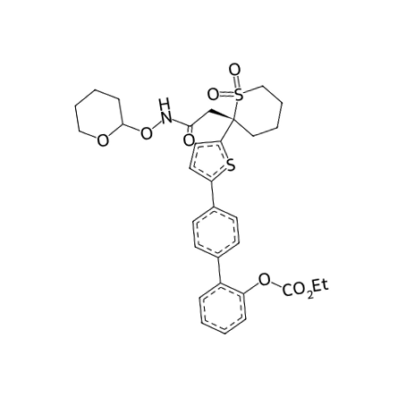 CCOC(=O)Oc1ccccc1-c1ccc(-c2ccc([C@@]3(CC(=O)NOC4CCCCO4)CCCCS3(=O)=O)s2)cc1